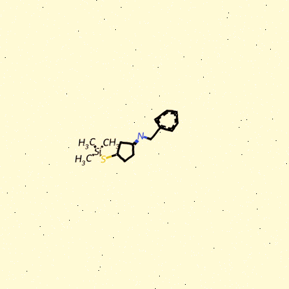 C[Si](C)(C)SC1CCC(=NCc2ccccc2)C1